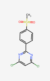 CS(=O)(=O)c1ccc(-c2nc(Cl)cc(Cl)n2)cc1